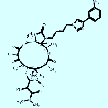 CCO[C@@H](O[C@@H]1[C@@H](C)C(=O)[C@@H](C)C(=O)O[C@H](CC)[C@@]2(C)OC(=O)N(CCCCn3cc(-c4cccc(N)c4)nn3)[C@@H]2[C@@H](C)NC(=O)[C@H](C)C[C@@]1(C)OC)C(O)C(CC)N(C)C